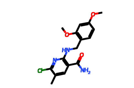 COc1ccc(CNc2nc(Cl)c(C)cc2C(N)=O)c(OC)c1